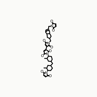 CC1CC(CC2CCC(N3C(=O)C=C(C4=CC(=O)N(CC5CC6C7CC(CN8C(=O)C=CC8=O)C(C7)C6C5)C4=O)C3=O)C(C)C2)CCC1N1C(=O)C=CC1=O